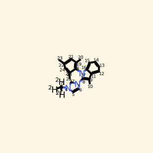 [2H]C([2H])([2H])N1C=CN(c2c(C)c3ccccc3n2-c2c(C)cc(C)cc2C)[C@H]1C